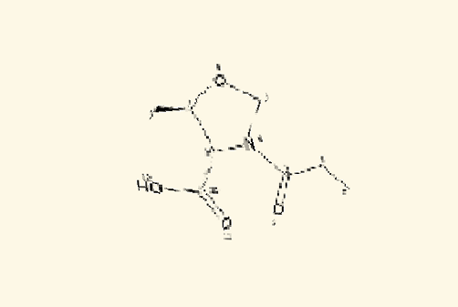 CCC(=O)N1CO[C@H](C)[C@H]1C(=O)O